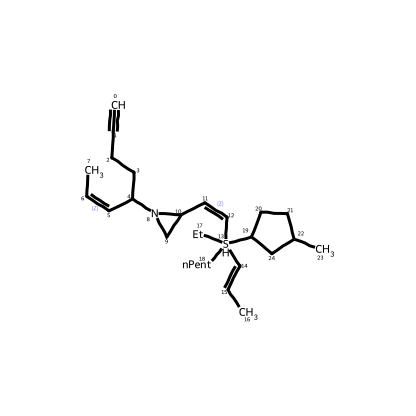 C#CCCC(/C=C\C)N1CC1/C=C\[SH](C=CC)(CC)(CCCCC)C1CCC(C)C1